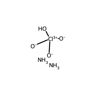 N.N.[O-][Cl+3]([O-])([O-])O